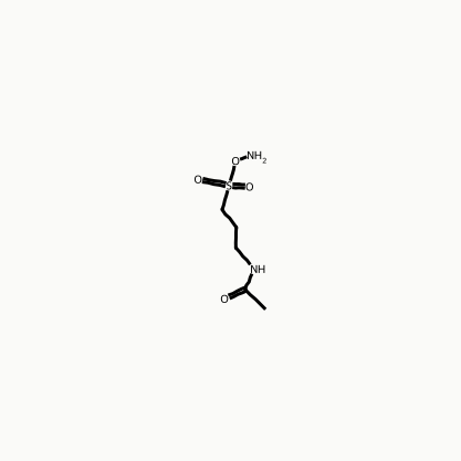 CC(=O)NCCCS(=O)(=O)ON